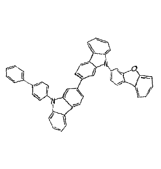 c1ccc(-c2ccc(-n3c4ccccc4c4ccc(-c5ccc6c7ccccc7n(-c7ccc8c(c7)oc7ccccc78)c6c5)cc43)cc2)cc1